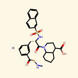 CNSC(=O)c1cccc(C[C@H](NS(=O)(=O)c2ccc3ccccc3c2)C(=O)N2CCC(C(=O)O)C3CCCCC32)c1.I